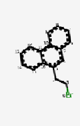 BrCCc1cc2ccccc2c2ccccc12